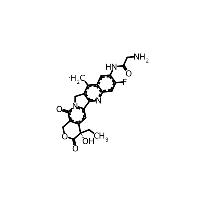 [CH2]c1c2c(nc3cc(F)c(NC(=O)CN)cc13)-c1cc3c(c(=O)n1C2)COC(=O)[C@]3(O)CC